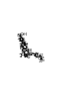 C=C(C)[C@@H]1CC[C@]2(C(=O)NCCN3CCN(C(=O)OC(C)(C)C)CC3)CC[C@]3(C)[C@H](CC[C@@H]4[C@@]5(C)CC=C(c6ccc(C(=O)O)cc6)C(C)(C)[C@@H]5CC[C@]43C)[C@@H]12